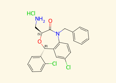 Cl.NC[C@@H]1O[C@@H](c2ccccc2Cl)c2cc(Cl)ccc2N(Cc2ccccc2)C1=O